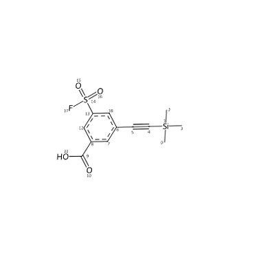 C[Si](C)(C)C#Cc1cc(C(=O)O)cc(S(=O)(=O)F)c1